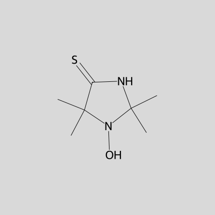 CC1(C)NC(=S)C(C)(C)N1O